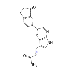 NC(=O)/C=C/c1c[nH]c2ncc(-c3ccc4c(c3)C(=O)CC4)cc12